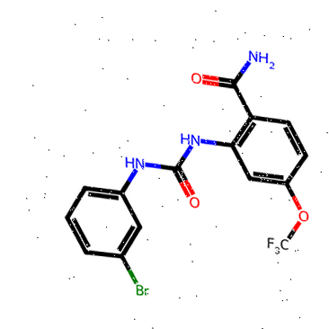 NC(=O)c1ccc(OC(F)(F)F)cc1NC(=O)Nc1cccc(Br)c1